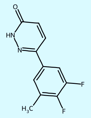 Cc1cc(-c2ccc(=O)[nH]n2)cc(F)c1F